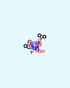 CC(C)C[C@@H](C(=O)NN(CCO)C(=O)[C@@H](C)NC(=O)OCC1c2ccccc2-c2ccccc21)[C@H](CC=Cc1ccccc1)C(=O)NOC1CCCCO1